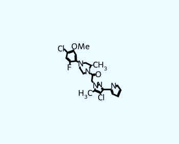 COc1cc(N2CCN(C(=O)Cn3nc(-c4ccccn4)c(Cl)c3C)[C@@H](C)C2)c(F)cc1Cl